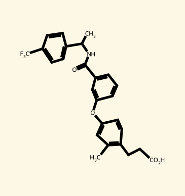 Cc1cc(Oc2cccc(C(=O)NC(C)c3ccc(C(F)(F)F)cc3)c2)ccc1CCC(=O)O